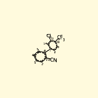 N#Cc1ccccc1-c1ccc(C(F)(F)F)c(Cl)c1